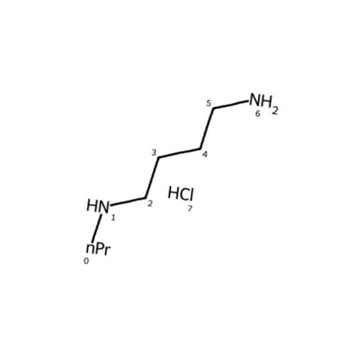 CCCNCCCCN.Cl